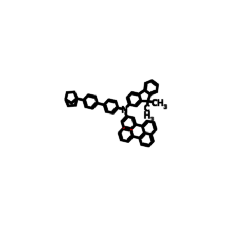 CC1(C)c2ccccc2-c2ccc(N(c3ccc(-c4ccc(C56CCC(CC5)C6)cc4)cc3)c3cccc(-c4cccc5cccc(-c6ccccc6)c45)c3)cc21